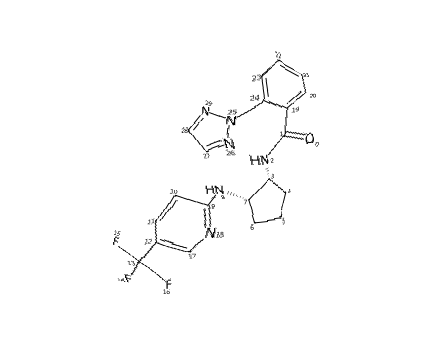 O=C(N[C@@H]1CCC[C@@H]1Nc1ccc(C(F)(F)F)cn1)c1ccccc1-n1nccn1